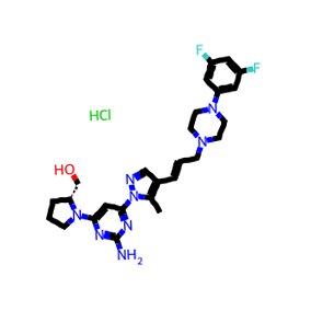 Cc1c(C=CCN2CCN(c3cc(F)cc(F)c3)CC2)cnn1-c1cc(N2CCC[C@@H]2CO)nc(N)n1.Cl